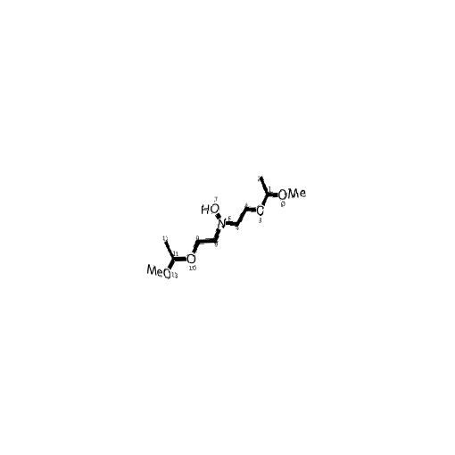 COC(C)OCCN(O)CCOC(C)OC